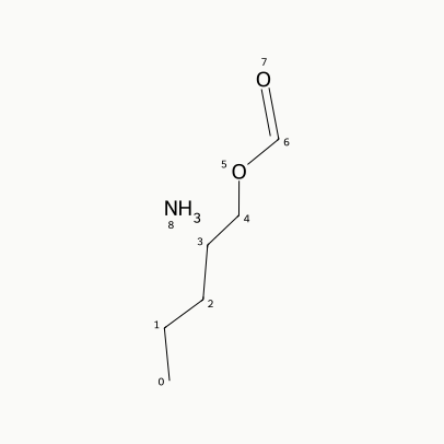 CCCCCOC=O.N